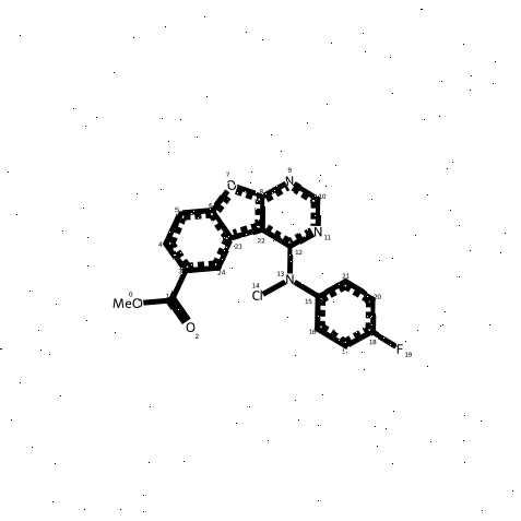 COC(=O)c1ccc2oc3ncnc(N(Cl)c4ccc(F)cc4)c3c2c1